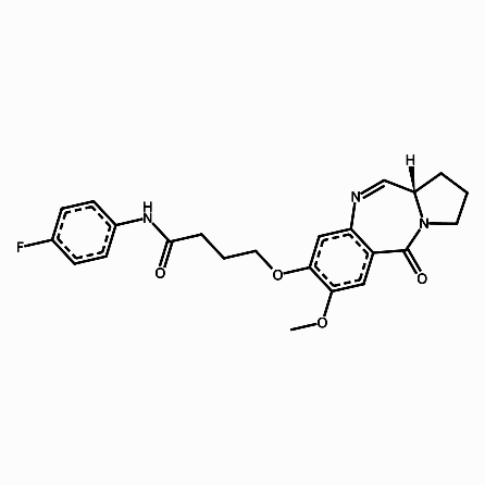 COc1cc2c(cc1OCCCC(=O)Nc1ccc(F)cc1)N=C[C@@H]1CCCN1C2=O